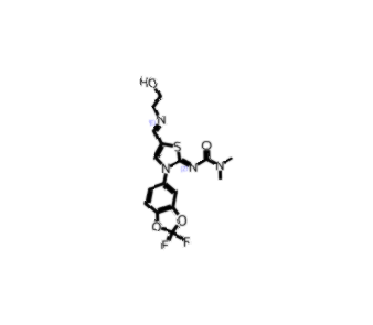 CN(C)C(=O)/N=c1\sc(/C=N/CCO)cn1-c1ccc2c(c1)OC(F)(F)O2